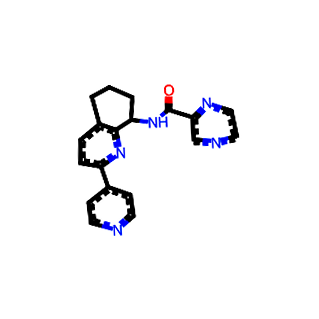 O=C(NC1CCCc2ccc(-c3ccncc3)nc21)c1cnccn1